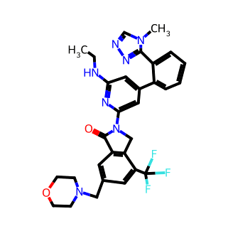 CCNc1cc(-c2ccccc2-c2nncn2C)cc(N2Cc3c(cc(CN4CCOCC4)cc3C(F)(F)F)C2=O)n1